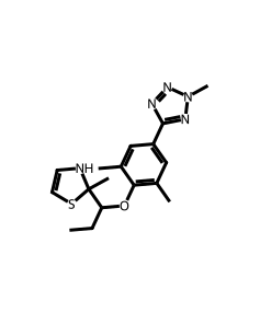 CCC(Oc1c(C)cc(-c2nnn(C)n2)cc1C)C1(C)NC=CS1